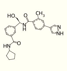 Cc1cc(-c2cn[nH]c2)ccc1C(=O)N[C@H](CO)c1cccc(C(=O)NC2CCCC2)c1